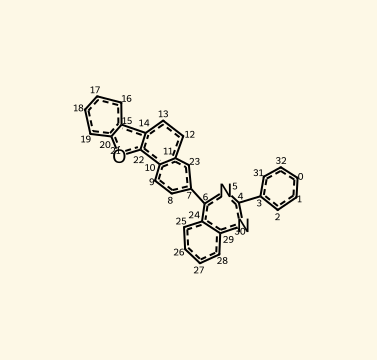 c1ccc(-c2nc(-c3ccc4c(ccc5c6ccccc6oc45)c3)c3ccccc3n2)cc1